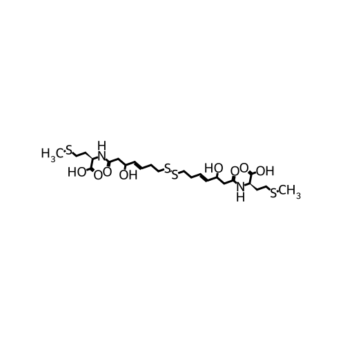 CSCC[C@@H](NC(=O)CC(O)/C=C/CCSSCC/C=C/C(O)CC(=O)N[C@H](CCSC)C(=O)O)C(=O)O